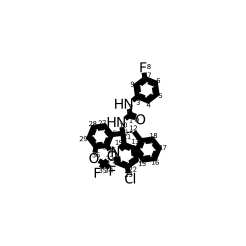 O=C(Nc1cccc(F)c1)N[C@@](Cc1ccccc1)(c1ccc(Cl)cn1)c1cccc2c1OC(F)(F)O2